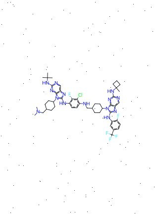 CN(C)CC1CCC(n2c(Nc3ccc(NCC4CCC(n5c(Nc6cc(C(F)(F)F)ccc6F)nc6cnc(NC7(C)CCC7)nc65)CC4)c(Cl)c3F)nc3cnc(NC(C)(C)C)nc32)CC1